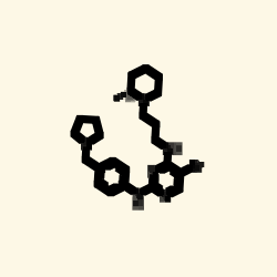 C[C@@H]1CCCCN1CCCNc1nc(Nc2ccc(CN3CCCC3)cc2)ncc1Br